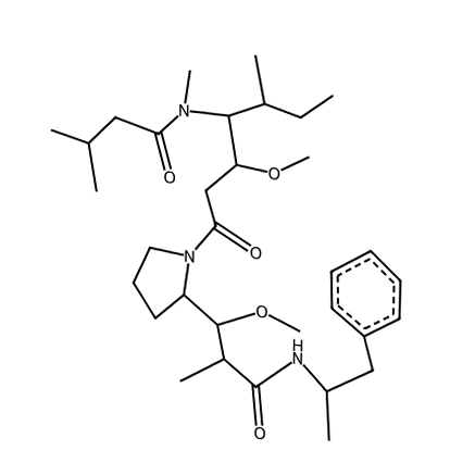 CCC(C)C(C(CC(=O)N1CCCC1C(OC)C(C)C(=O)NC(C)Cc1ccccc1)OC)N(C)C(=O)CC(C)C